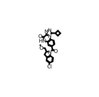 COCC1Cc2cc(Cl)ccc2N1C(=O)c1ccc2c(c1)[nH]c(=O)c1nnc(C3CCC3)n12